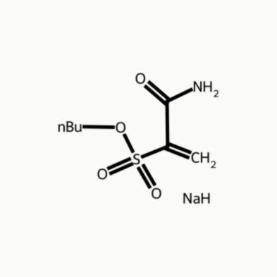 C=C(C(N)=O)S(=O)(=O)OCCCC.[NaH]